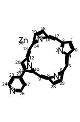 C1=CC2=NC1=CC1=NC(=CC3=NC(=CC4=NC(=C2)C=C4)C=C3c2ccncc2)C=C1.[Zn]